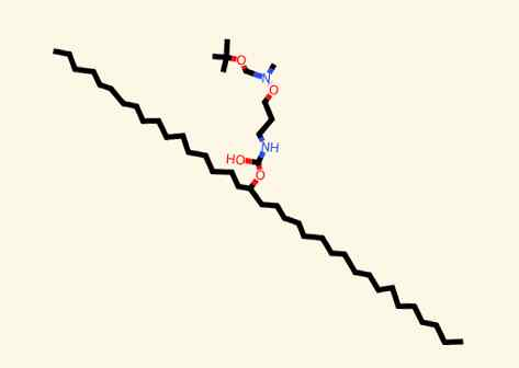 CCCCCCCCCCCCCCCCCCC(CCCCCCCCCCCCCCCCC)OC(O)NCCCON(C)COC(C)(C)C